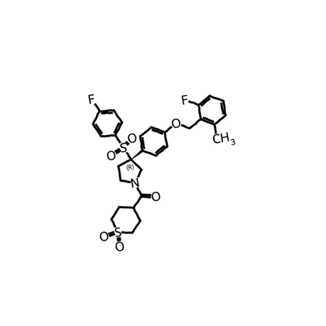 Cc1cccc(F)c1COc1ccc([C@]2(S(=O)(=O)c3ccc(F)cc3)CCN(C(=O)C3CCS(=O)(=O)CC3)C2)cc1